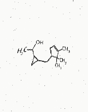 CC1=CCC(CC2CC2C(C)O)C1(C)C